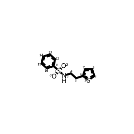 O=S(=O)(NCCc1cccs1)c1ccccc1